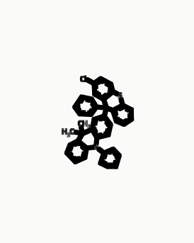 CC1(C)c2ccccc2N(c2ccccc2)c2ccc(C3(c4ccccc4)c4ccccc4Sc4ccc(Cl)cc43)cc21